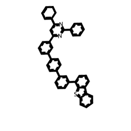 C1=CCCC(c2cc(-c3cccc(-c4ccc(-c5cccc(-c6cccc7c6sc6ccccc67)c5)cc4)c3)nc(-c3ccccc3)n2)=C1